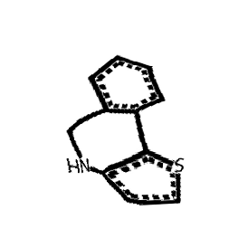 c1ccc2c(c1)CNc1ccsc1-2